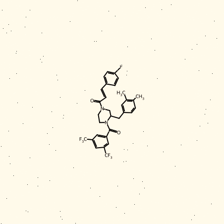 Cc1ccc(CC2CN(C(=O)C=Cc3ccc(F)cc3)CCN2C(=O)c2cc(C(F)(F)F)cc(C(F)(F)F)c2)cc1C